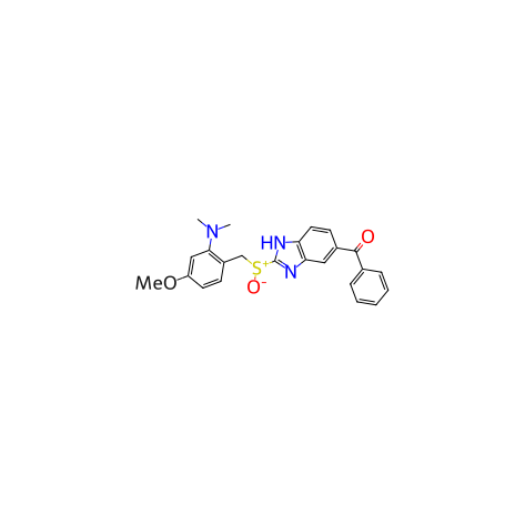 COc1ccc(C[S+]([O-])c2nc3cc(C(=O)c4ccccc4)ccc3[nH]2)c(N(C)C)c1